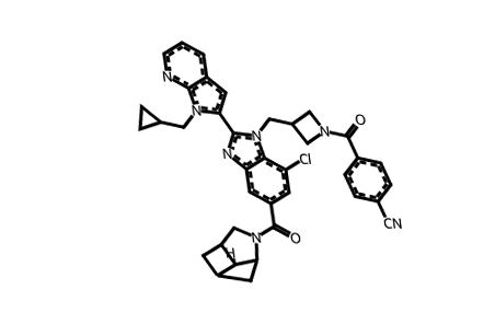 N#Cc1ccc(C(=O)N2CC(Cn3c(-c4cc5cccnc5n4CC4CC4)nc4cc(C(=O)N5CC6CC7CC5[C@H]76)cc(Cl)c43)C2)cc1